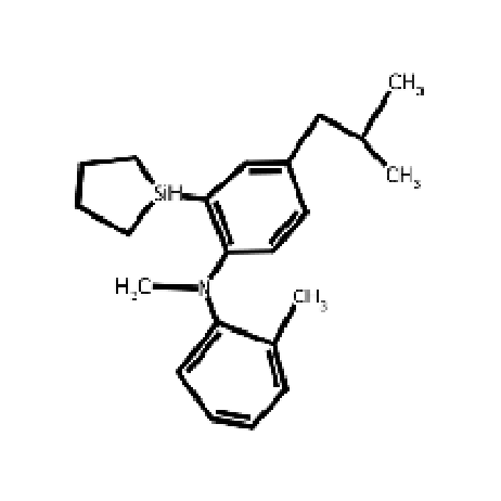 Cc1ccccc1N(C)c1ccc(CC(C)C)cc1[SiH]1CCCC1